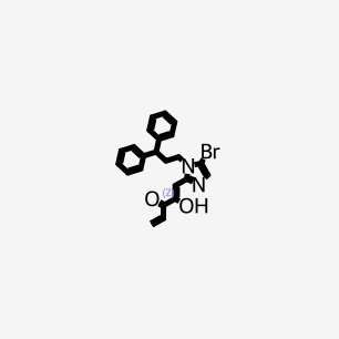 C=CC(=O)/C(O)=C/c1ncc(Br)n1CCC(c1ccccc1)c1ccccc1